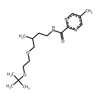 Cc1cnc(C(=O)NCCC(C)COCCOC(C)(C)C)nc1